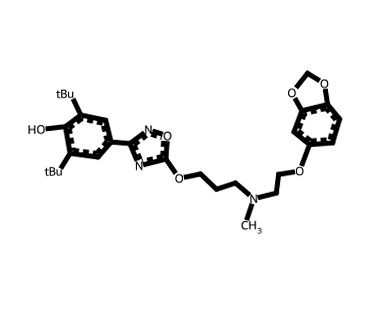 CN(CCCOc1nc(-c2cc(C(C)(C)C)c(O)c(C(C)(C)C)c2)no1)CCOc1ccc2c(c1)OCO2